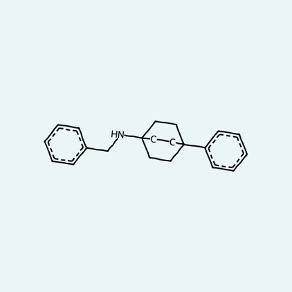 c1ccc(CNC23CCC(c4ccccc4)(CC2)CC3)cc1